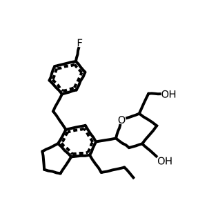 CCCc1c(C2CC(O)CC(CO)O2)cc(Cc2ccc(F)cc2)c2c1CCC2